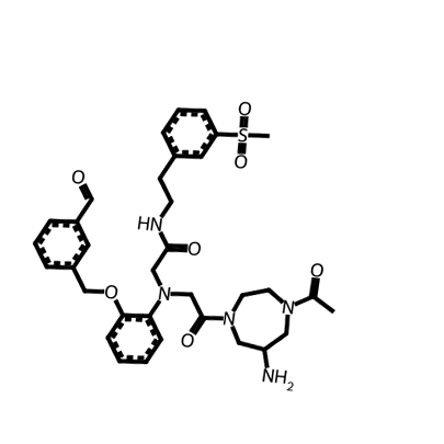 CC(=O)N1CCN(C(=O)CN(CC(=O)NCCc2cccc(S(C)(=O)=O)c2)c2ccccc2OCc2cccc(C=O)c2)CC(N)C1